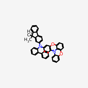 CC1(C)c2ccccc2-c2ccc(N(c3ccc4c(c3)Oc3cccc5c3N4c3ccccc3O5)c3ccccc3-c3ccccc3)cc21